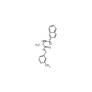 Cc1cccc(COC(=O)[C@H](C)NC(=O)c2ccc3ccccc3c2)c1